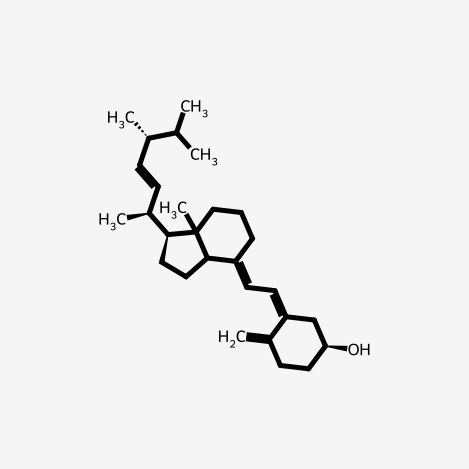 C=C1CC[C@H](O)C/C1=C/C=C1\CCCC2(C)C1CC[C@H]2[C@@H](C)/C=C/[C@H](C)C(C)C